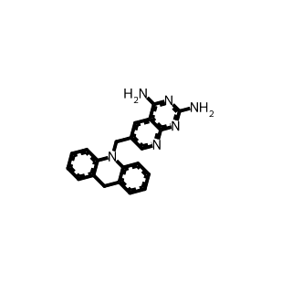 Nc1nc(N)c2cc(CN3c4ccccc4Cc4ccccc43)cnc2n1